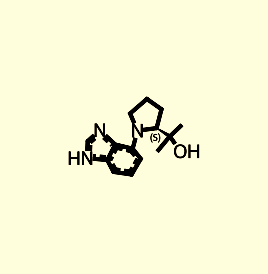 CC(C)(O)[C@@H]1CCCN1c1cccc2[nH]cnc12